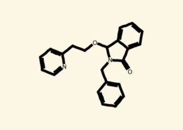 O=C1c2ccccc2C(OCCc2ccccn2)N1Cc1ccccc1